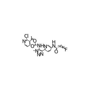 C[C@@H](OC(=O)Nc1c(-c2ccc(NC(=O)[C@@H]3C[C@H]3F)cn2)nnn1C)c1cccnc1Cl